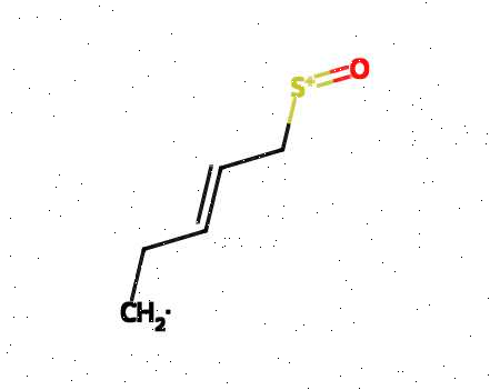 [CH2]CC=CC[S+]=O